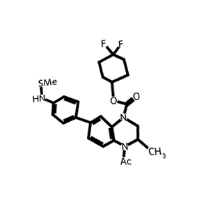 CSNc1ccc(-c2ccc3c(c2)N(C(=O)OC2CCC(F)(F)CC2)CC(C)N3C(C)=O)cc1